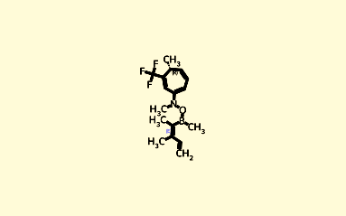 C=C/C(C)=C(/C)B(C)ON(C)C1=CC=C[C@@H](C)C(C(F)(F)F)=C1